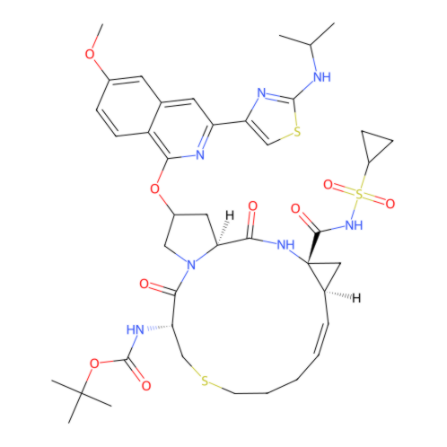 COc1ccc2c(OC3C[C@H]4C(=O)N[C@]5(C(=O)NS(=O)(=O)C6CC6)C[C@H]5/C=C\CCCSC[C@H](NC(=O)OC(C)(C)C)C(=O)N4C3)nc(-c3csc(NC(C)C)n3)cc2c1